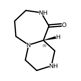 O=C1NCCCN2CCNC[C@@H]12